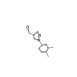 Cc1ccc(-n2cc(C=O)cn2)cc1C